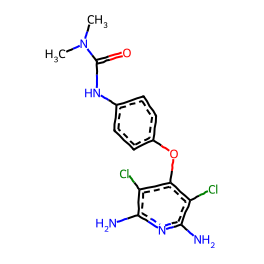 CN(C)C(=O)Nc1ccc(Oc2c(Cl)c(N)nc(N)c2Cl)cc1